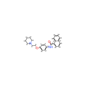 O=C(Nc1ccc(OCCN2CCCCC2)cc1)c1cccc2ccccc12